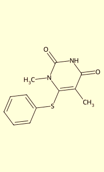 Cc1c(Sc2ccccc2)n(C)c(=O)[nH]c1=O